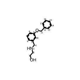 OCCNCc1cccc(OCc2ccccc2)c1